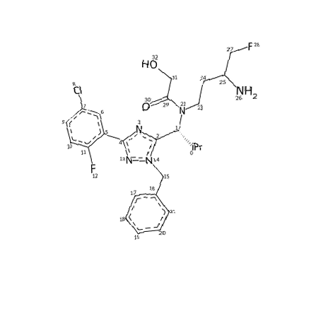 CC(C)[C@H](c1nc(-c2cc(Cl)ccc2F)nn1Cc1ccccc1)N(CCC(N)CF)C(=O)CO